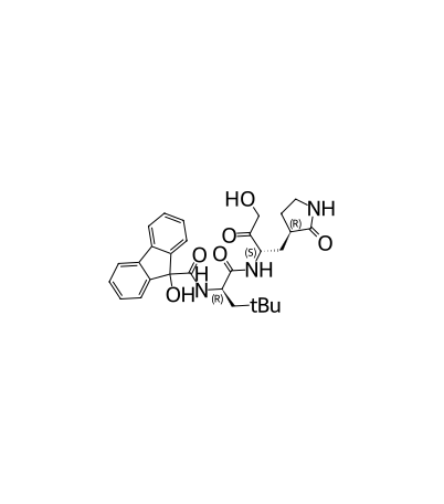 CC(C)(C)C[C@@H](NC(=O)C1(O)c2ccccc2-c2ccccc21)C(=O)N[C@@H](C[C@H]1CCNC1=O)C(=O)CO